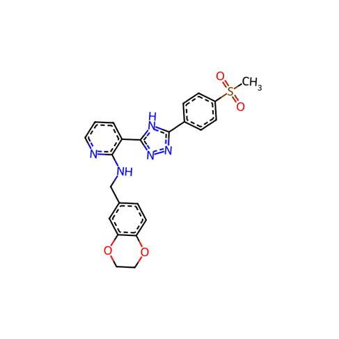 CS(=O)(=O)c1ccc(-c2nnc(-c3cccnc3NCc3ccc4c(c3)OCCO4)[nH]2)cc1